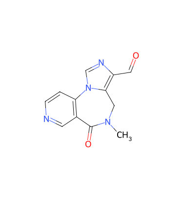 CN1Cc2c(C=O)ncn2-c2ccncc2C1=O